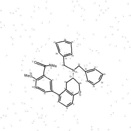 CNC(=O)c1cc(-c2cccc3c2C[C@H](N(Cc2ccccc2)Cc2ccccc2)CO3)cnc1OC